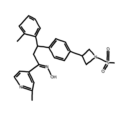 Cc1cc(C(CC(c2ccc(C3CN(S(C)(=O)=O)C3)cc2)c2ccccc2C)=NO)ccn1